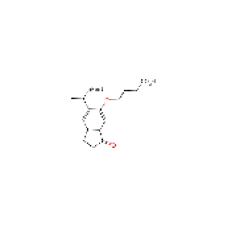 CCCCCC(C)c1cc2c(cc1OCCCC(=O)O)C(=O)CC2